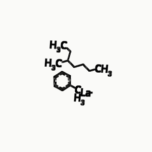 CCCCC(C)CC.Cc1ccccc1.[La]